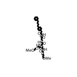 COCCOCC(=O)NCC[C@H](NC(=O)COCCOC)C(=O)NCCC(=O)ONC(=O)Cc1ccc(CCCCc2ccccc2)cc1